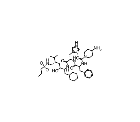 CCCS(=O)(=O)NC[C@@H](C[C@H](O)[C@H](CC1CCCCC1)NC(=O)[C@H](Cc1c[nH]cn1)NC(=O)[C@H](Cc1ccccc1)NC(=O)N1CCC(N)CC1)C(C)C